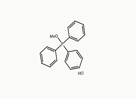 CO[P](c1ccccc1)(c1ccccc1)c1ccccc1.Cl